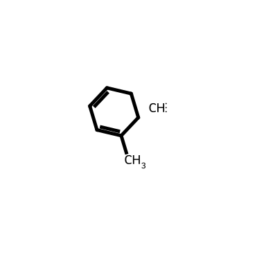 CC1=CC=CCC1.[CH]